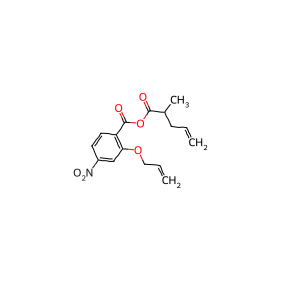 C=CCOc1cc([N+](=O)[O-])ccc1C(=O)OC(=O)C(C)CC=C